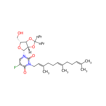 CCCC1(CCC)OC2[C@@H](CO)O[C@@H](n3cc(F)c(=O)n(C/C=C(\C)CC/C=C(\C)CCC=C(C)C)c3=O)[C@H]2O1